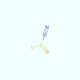 N#CS(#P)=S